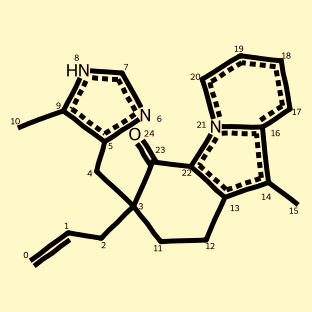 C=CCC1(Cc2nc[nH]c2C)CCc2c(C)c3ccccn3c2C1=O